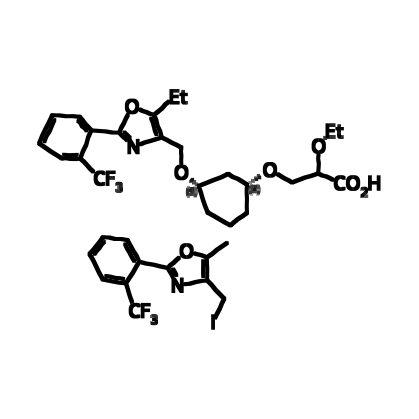 CCOC(CO[C@@H]1CCC[C@H](OCc2nc(-c3ccccc3C(F)(F)F)oc2CC)C1)C(=O)O.Cc1oc(-c2ccccc2C(F)(F)F)nc1CI